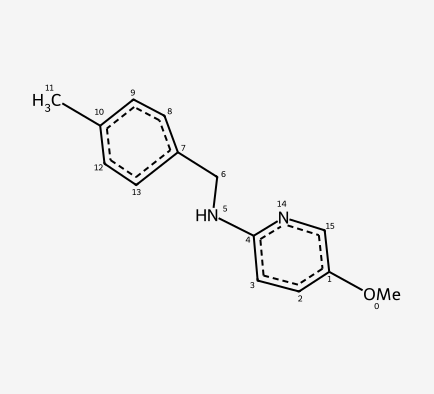 COc1ccc(NCc2ccc(C)cc2)nc1